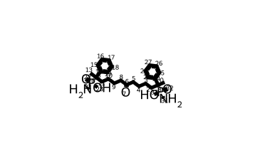 CC(CCCCC(=O)CCCCC(C)(c1ccccc1)P(N)(=O)O)(c1ccccc1)P(N)(=O)O